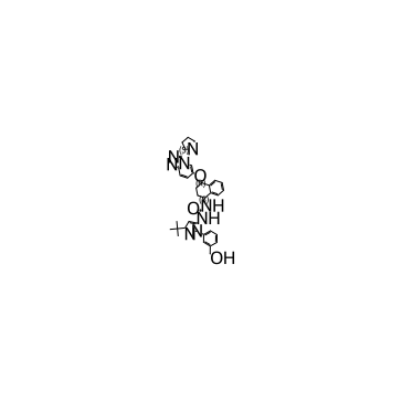 CN1CCC[C@H]1c1nnc2ccc(O[C@@H]3CC[C@H](NC(=O)Nc4cc(C(C)(C)C)nn4-c4cccc(CO)c4)c4ccccc43)cn12